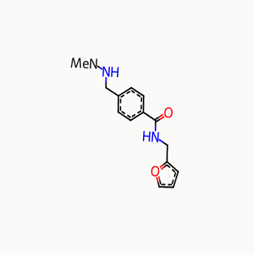 CNNCc1ccc(C(=O)NCc2ccco2)cc1